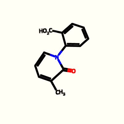 Cc1cccn(-c2ccccc2C(=O)O)c1=O